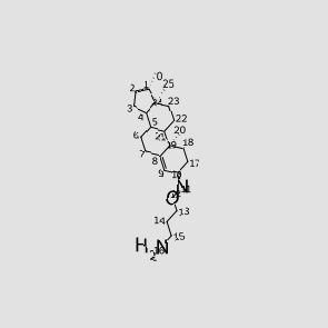 C[C@H]1CCC2C3CCC4=CC(=NOCCCN)CC[C@]4(C)C3CC[C@@]21C